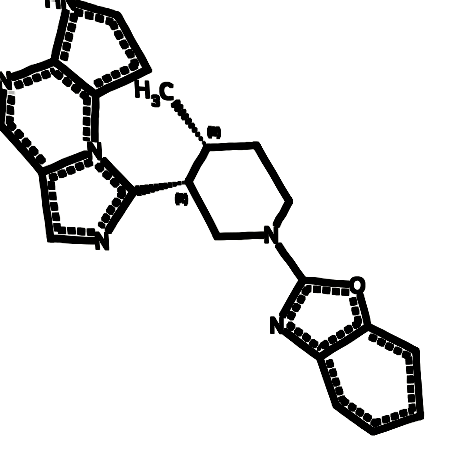 C[C@@H]1CCN(c2nc3ccccc3o2)C[C@@H]1c1ncc2cnc3[nH]ccc3n12